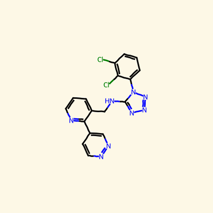 Clc1cccc(-n2nnnc2NCc2cccnc2-c2ccnnc2)c1Cl